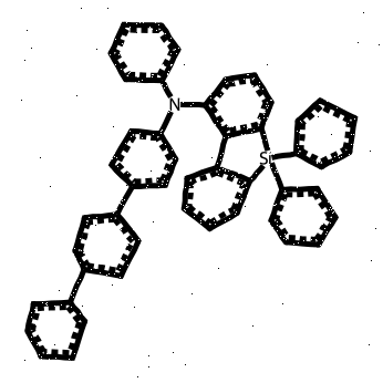 c1ccc(-c2ccc(-c3ccc(N(c4ccccc4)c4cccc5c4-c4ccccc4[Si]5(c4ccccc4)c4ccccc4)cc3)cc2)cc1